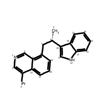 CC(C)c1cncc2c(C[C@H](C)c3c[nH]c4ccccc34)cccc12